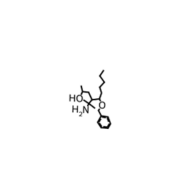 CCCCCC(OCc1ccccc1)C(CC(C)O)C(C)(C)N